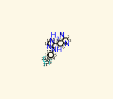 Nc1ccnc2ccc(-c3nccnc3Nc3ccc(C(F)(F)F)cc3)cc12